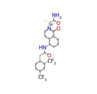 C[C@H](C(N)=O)n1ccc2c(NC(=O)Cc3ccc(C(F)(F)F)cc3C(F)(F)F)cccc2c1=O